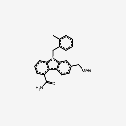 COCc1c[c]c2c3c(C(N)=O)cccc3n(Cc3ccccc3C)c2c1